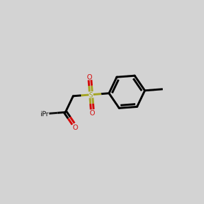 Cc1ccc(S(=O)(=O)CC(=O)C(C)C)cc1